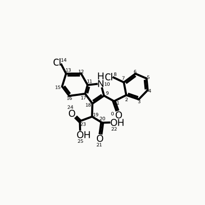 O=C(c1ccccc1Cl)c1[nH]c2cc(Cl)ccc2c1C(C(=O)O)C(=O)O